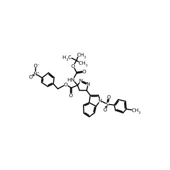 Cc1ccc(S(=O)(=O)n2cc(C3CC(NC(=O)OC(C)(C)C)(C(=O)OCc4ccc([N+](=O)[O-])cc4)N=N3)c3ccccc32)cc1